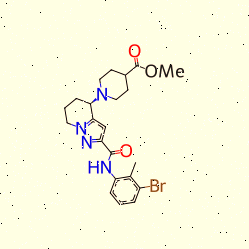 COC(=O)C1CCN([C@@H]2CCCn3nc(C(=O)Nc4cccc(Br)c4C)cc32)CC1